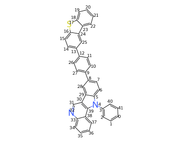 c1ccc(-n2c3ccc(-c4ccc(-c5ccc6sc7ccccc7c6c5)cc4)cc3c3cnc4ccccc4c32)cc1